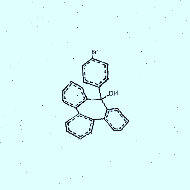 OC1(c2ccc(Br)cc2)c2ccccc2-c2ccccc2-c2ccccc21